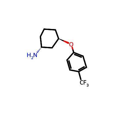 N[C@@H]1CCC[C@@H](Oc2ccc(C(F)(F)F)cc2)C1